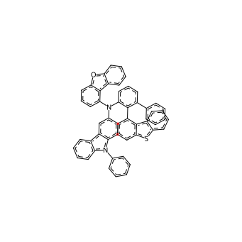 c1ccc(-c2cccc(N(c3ccc4c(c3)c3ccccc3n4-c3ccccc3)c3cccc4oc5ccccc5c34)c2-c2cccc3sc4ccccc4c23)cc1